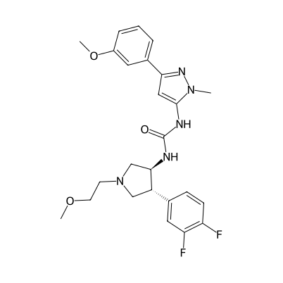 COCCN1C[C@@H](NC(=O)Nc2cc(-c3cccc(OC)c3)nn2C)[C@H](c2ccc(F)c(F)c2)C1